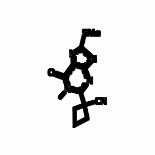 CSc1nc2c(=O)n(C)c(C3(C#N)CCC3)nc2s1